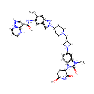 COc1cc2nn(C3CCN(CC4CN(c5ccc6c(c5)n(C)c(=O)n6C5CCC(=O)NC5=O)C4)CC3)cc2cc1NC(=O)c1cnn2cccnc12